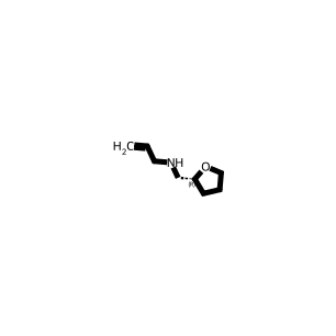 C=CCNC[C@H]1CCCO1